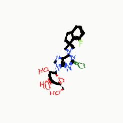 OC[C@H]1O[C@@H](n2cnc3c(N4CC5(CCc6cccc(F)c65)C4)nc(Cl)nc32)[C@@H](O)C1O